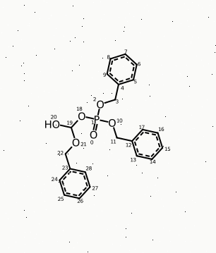 O=P(OCc1ccccc1)(OCc1ccccc1)OC(O)OCc1ccccc1